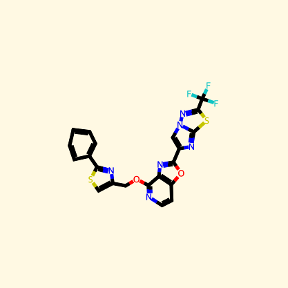 FC(F)(F)c1nn2cc(-c3nc4c(OCc5csc(-c6ccccc6)n5)nccc4o3)nc2s1